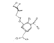 CC1(CCOc2cc(C(N)=O)cc([N+](=O)[O-])c2Cl)COC1